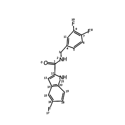 O=C(NCc1ccc(F)c(F)c1)c1cc2cc(F)ccc2[nH]1